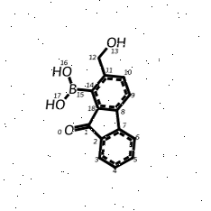 O=C1c2ccccc2-c2ccc(CO)c(B(O)O)c21